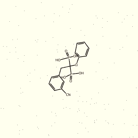 N#Cc1cccc(CC(Oc2ccccc2)(P(=O)(O)O)P(=O)(O)O)c1